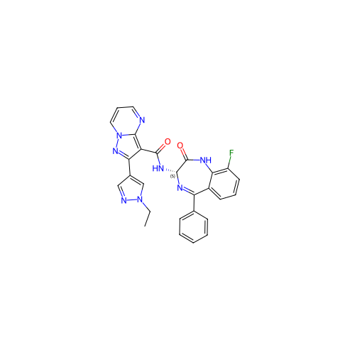 CCn1cc(-c2nn3cccnc3c2C(=O)N[C@H]2N=C(c3ccccc3)c3cccc(F)c3NC2=O)cn1